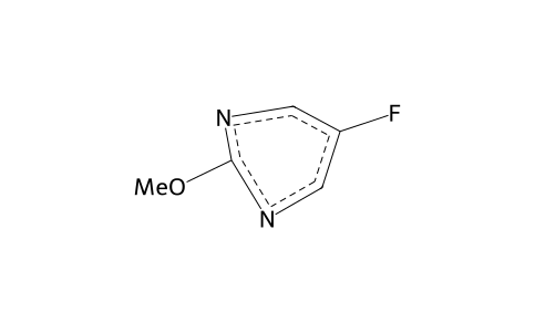 COc1ncc(F)cn1